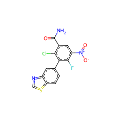 NC(=O)c1cc([N+](=O)[O-])c(F)c(-c2ccc3scnc3c2)c1Cl